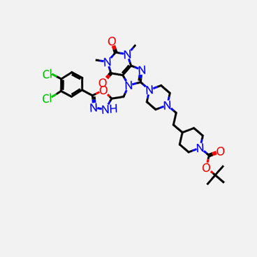 Cn1c(=O)c2c(nc(N3CCN(CCC4CCN(C(=O)OC(C)(C)C)CC4)CC3)n2CC2NN=C(c3ccc(Cl)c(Cl)c3)O2)n(C)c1=O